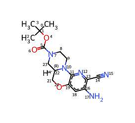 CC(C)(C)OC(=O)N1CCN2c3nc(C#N)c(N)cc3OC[C@H]2C1